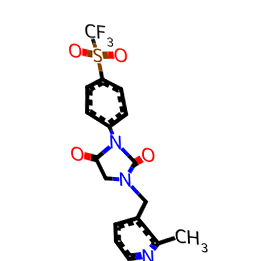 Cc1ncccc1CN1CC(=O)N(c2ccc(S(=O)(=O)C(F)(F)F)cc2)C1=O